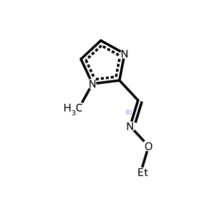 CCO/N=C/c1nccn1C